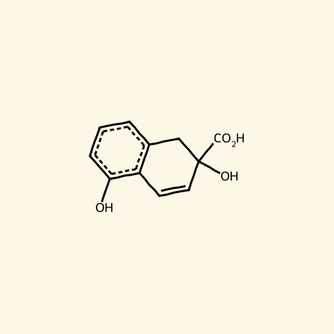 O=C(O)C1(O)C=Cc2c(O)cccc2C1